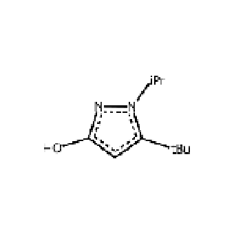 CC(C)n1nc(O)cc1C(C)(C)C